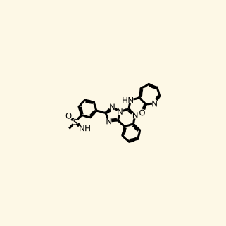 CS(=N)(=O)c1cccc(-c2nc3c4ccccc4nc(Nc4ccccnc4=O)n3n2)c1